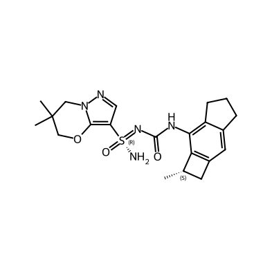 C[C@H]1Cc2cc3c(c(NC(=O)N=[S@@](N)(=O)c4cnn5c4OCC(C)(C)C5)c21)CCC3